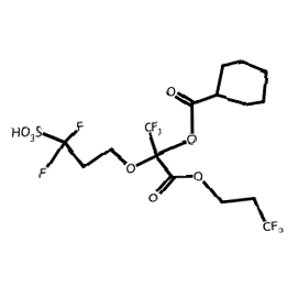 O=C(OC(OCCC(F)(F)S(=O)(=O)O)(C(=O)OCCC(F)(F)F)C(F)(F)F)C1CCCCC1